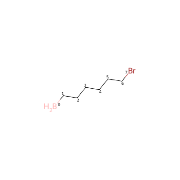 BCCCCCCBr